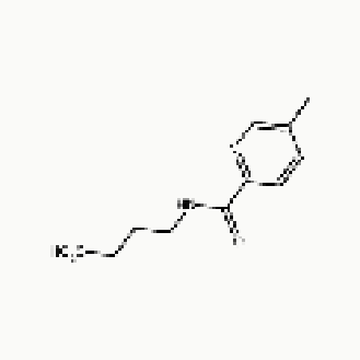 Cc1ccc(C(=O)NCCCC(=O)O)nc1